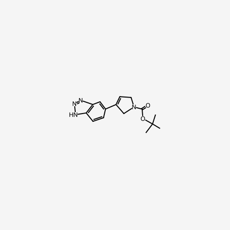 CC(C)(C)OC(=O)N1CC=C(c2ccc3[nH]nnc3c2)C1